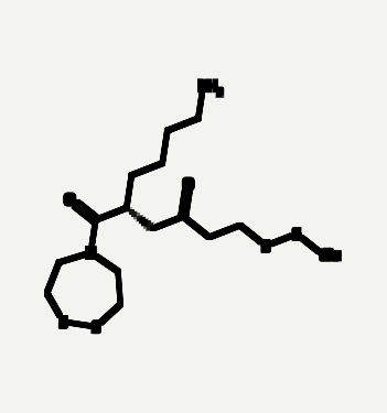 CC(C)(C)SSCCC(=O)C[C@@H](CCCCN)C(=O)N1CCSSCC1